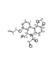 C=CCOc1ccccc1C(C(C)C)N(C(=O)CCl)c1ccc2c(c1)OCO2